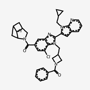 O=C(c1ccccc1)N1CC(Cn2c(-c3cc4cccnc4n3CC3CC3)nc3cc(C(=O)N4CC5CC6CC4[C@H]65)cc(Cl)c32)C1